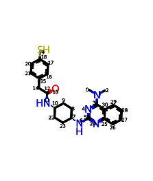 CN(C)c1nc(N[C@H]2CC[C@@H](NC(=O)Cc3ccc(S)cc3)CC2)nc2ccccc12